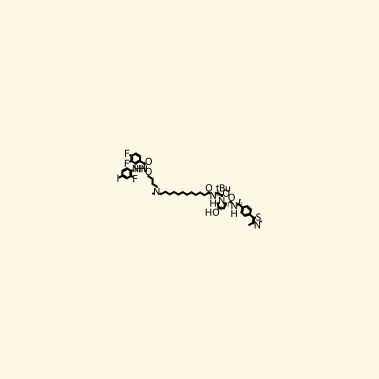 Cc1ncsc1-c1ccc([C@H](C)NC(=O)[C@@H]2C[C@@H](O)CN2C(=O)[C@@H](NC(=O)CCCCCCCCCCCN(C)CCCCONC(=O)c2ccc(F)c(F)c2Nc2ccc(I)cc2F)C(C)(C)C)cc1